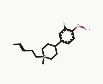 C/C=C/CC[Si]1(C)CCC(c2ccc(OC(F)(F)F)c(F)c2)CC1